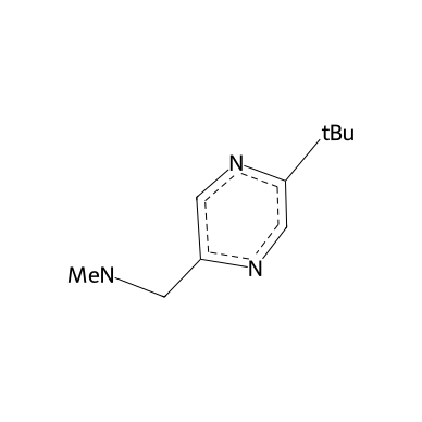 CNCc1cnc(C(C)(C)C)cn1